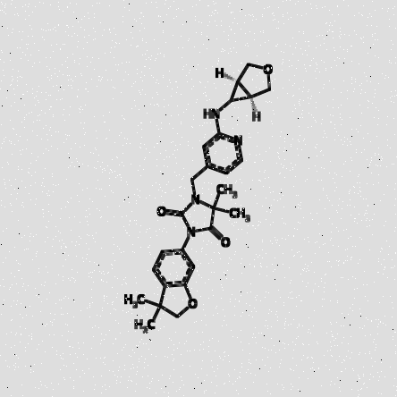 CC1(C)COc2cc(N3C(=O)N(Cc4ccnc(NC5[C@H]6COC[C@@H]56)c4)C(C)(C)C3=O)ccc21